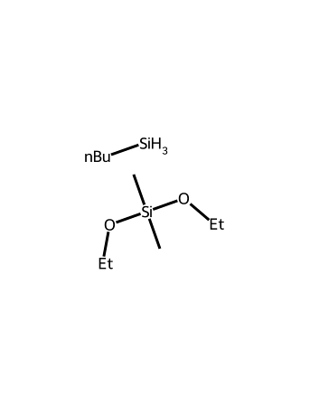 CCCC[SiH3].CCO[Si](C)(C)OCC